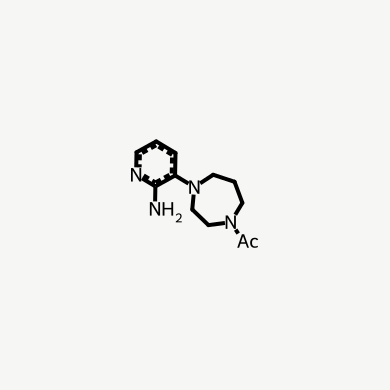 CC(=O)N1CCCN(c2cccnc2N)CC1